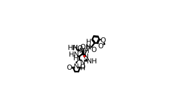 N=C1N[C@H]2[C@H](CN3C(=O)CCC3=O)NC(=N)N3C[C@H](NC(=O)c4cccc5c4OCO5)C(O)(O)[C@]23N1